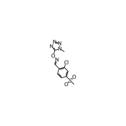 Cn1nnnc1O/N=C/c1ccc(S(C)(=O)=O)cc1Cl